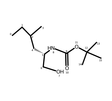 CCC(C)C[C@@H](CO)NC(=O)OC(C)(C)C